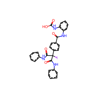 O=C(O)Nc1ccccc1NC(=O)c1ccc(C(I)(C(=O)Nc2ccccc2)C(=O)Nc2ccccc2)cc1